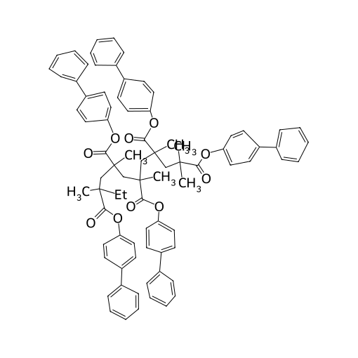 CCC(C)(CC(C)(CC(C)(CC(C)(CC(C)(C)C(=O)Oc1ccc(-c2ccccc2)cc1)C(=O)Oc1ccc(-c2ccccc2)cc1)C(=O)Oc1ccc(-c2ccccc2)cc1)C(=O)Oc1ccc(-c2ccccc2)cc1)C(=O)Oc1ccc(-c2ccccc2)cc1